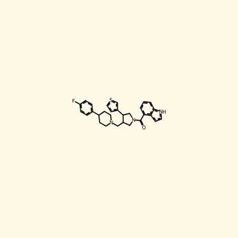 O=C(c1cccc2[nH]ccc12)N1CC(CN2CCC(c3ccc(F)cc3)CC2)C(c2ccsc2)C1